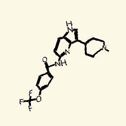 CN1CCC(c2c[nH]c3ccc(NC(=O)c4ccc(OC(F)(F)F)cc4)nc23)CC1